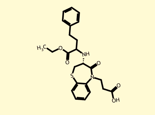 CCOC(=O)C(CCc1ccccc1)N[C@H]1CSc2ccccc2N(CCC(=O)O)C1=O